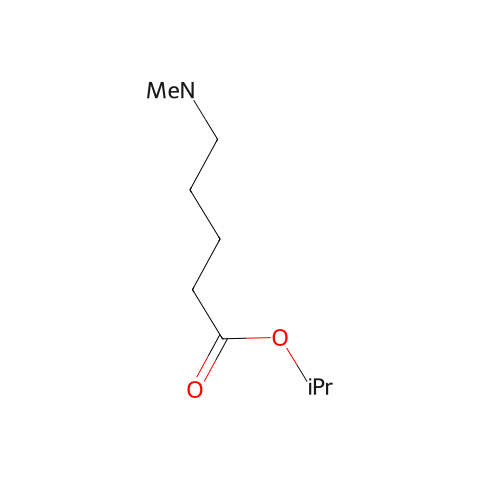 CNCCCCC(=O)OC(C)C